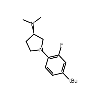 CN(C)[C@@H]1CCN(c2ccc(C(C)(C)C)cc2F)C1